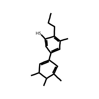 CCCc1c(C)cc(C2=CC(C)C(C)C(C)=C2)cc1S